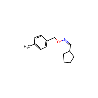 Cc1ccc(CO/N=[C]\C2CCCC2)cc1